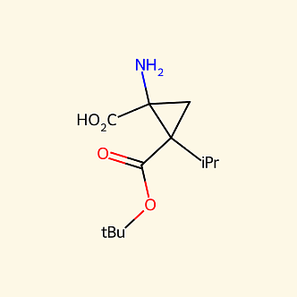 CC(C)C1(C(=O)OC(C)(C)C)CC1(N)C(=O)O